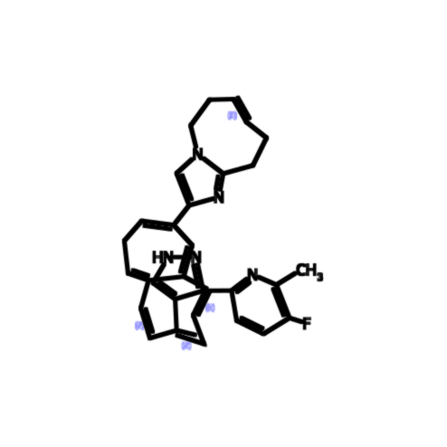 Cc1nc(-c2n[nH]cc2C2=C\C=C\C3=CC(c4cn5c(n4)CC/C=C/CC5)=CCC=C3/C=C\2)ccc1F